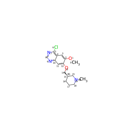 COc1cc2c(Cl)ncnc2cc1OC[C@@H]1CCCN(C)C1